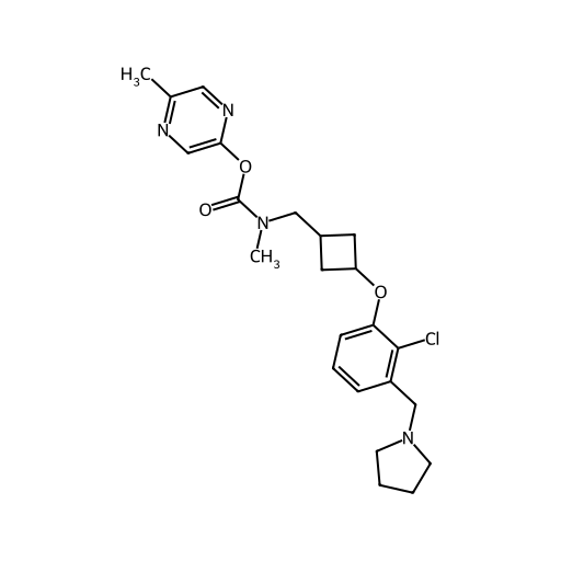 Cc1cnc(OC(=O)N(C)CC2CC(Oc3cccc(CN4CCCC4)c3Cl)C2)cn1